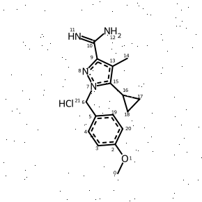 COc1ccc(Cn2nc(C(=N)N)c(C)c2C2CC2)cc1.Cl